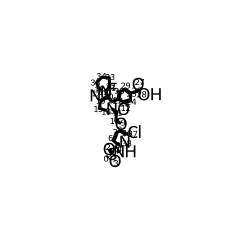 CS(=O)(=O)Nc1ccc(OCC(=O)N2CCc3nc4n(c3C2c2ccc(C(=O)O)cc2F)CCCC4)c(Cl)n1